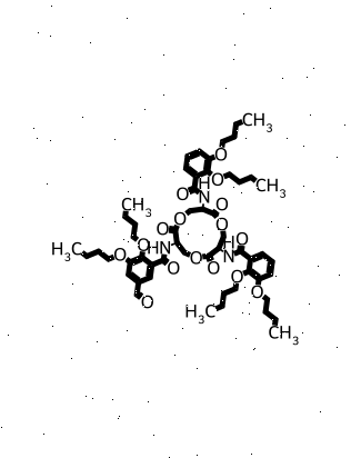 CCCCOc1cccc(C(=O)N[C@H]2COC(=O)[C@@H](NC(=O)c3cccc(OCCCC)c3OCCCC)COC(=O)[C@@H](NC(=O)c3cc(C=O)cc(OCCCC)c3OCCCC)COC2=O)c1OCCCC